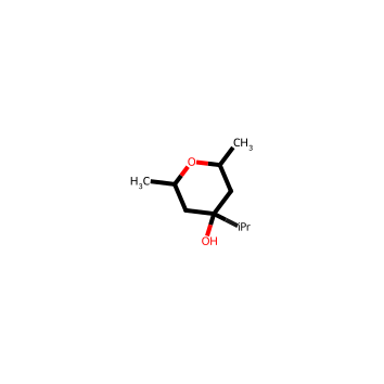 CC1CC(O)(C(C)C)CC(C)O1